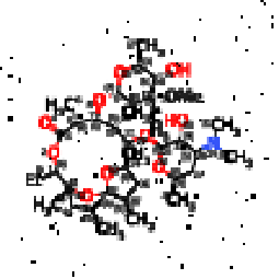 CC[C@H]1OC(=O)[C@H](C)[C@@H](O[C@H]2C[C@@](C)(OC)[C@@H](O)[C@H](C)O2)[C@H](C)C(O[C@@H]2O[C@H](C)C[C@H](N(C)C)[C@H]2O)[C@@]2(C)C[C@@H](C)[C@@]3(O2)O[C@]1(C)C=C3C